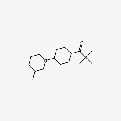 CC1CCCN(C2CCN(C(=O)C(C)(C)C)CC2)C1